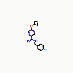 N=C(NCc1ccc(F)cc1)c1cnc(OC2CCC2)cn1